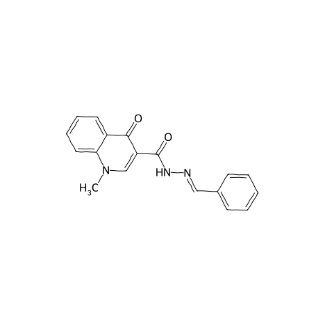 Cn1cc(C(=O)N/N=C/c2ccccc2)c(=O)c2ccccc21